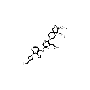 C[C@@H]1OCC2(CCN(c3ncc(Sc4ccnc(N5CC(CF)C5)c4Cl)nc3CO)CC2)[C@@H]1C